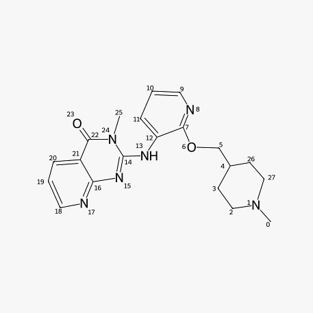 CN1CCC(COc2ncccc2Nc2nc3ncccc3c(=O)n2C)CC1